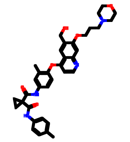 Cc1ccc(NC(=O)C2(C(=O)Nc3ccc(Oc4ccnc5cc(OCCCN6CCOCC6)c(CO)cc45)c(C)c3)CC2)cc1